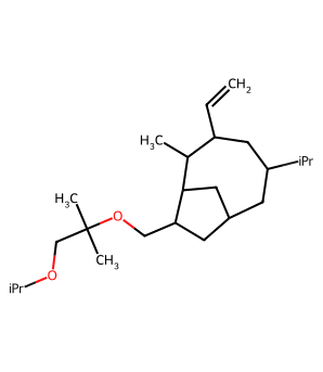 C=CC1CC(C(C)C)CC2CC(COC(C)(C)COC(C)C)C(C2)C1C